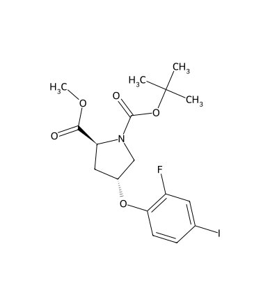 COC(=O)[C@@H]1C[C@@H](Oc2ccc(I)cc2F)CN1C(=O)OC(C)(C)C